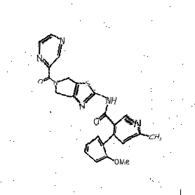 COc1ccccc1-c1cc(C)ncc1C(=O)Nc1nc2c(s1)CN(C(=O)c1cnccn1)C2